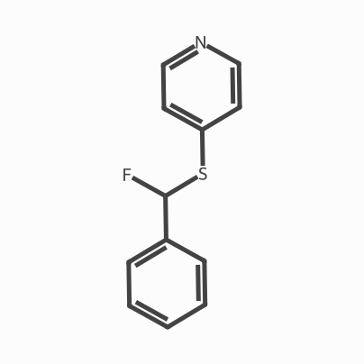 FC(Sc1ccncc1)c1ccccc1